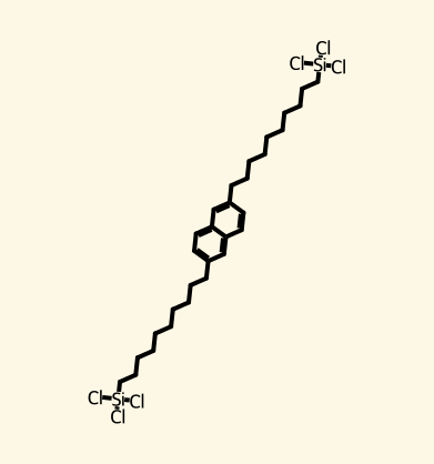 Cl[Si](Cl)(Cl)CCCCCCCCCCc1ccc2cc(CCCCCCCCCC[Si](Cl)(Cl)Cl)ccc2c1